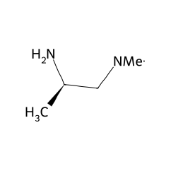 C[N]C[C@@H](C)N